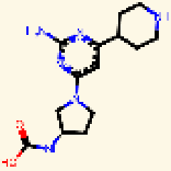 Nc1nc(C2CCNCC2)cc(N2CC[C@@H](NC(=O)O)C2)n1